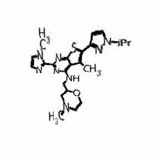 Cc1c(-c2ccn(C(C)C)n2)sc2nc(-c3nccn3C)nc(NCC3CN(C)CCO3)c12